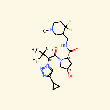 CN1CCC(F)(F)C(CNC(=O)[C@@H]2C[C@@H](O)CN2C(=O)[C@@H](n2cc(C3CC3)nn2)C(C)(C)C)C1